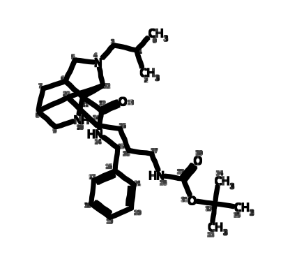 CC(C)CN1CC2CC3CNC2(C(=O)NCc2ccccc2)C1C3CCCCNC(=O)OC(C)(C)C